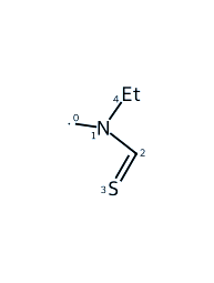 [CH2]N(C=S)CC